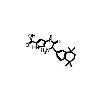 CN(C(=O)C(N)c1ccc2c(c1)C(C)(C)CCC2(C)C)c1c[nH]c(C(=O)O)c1